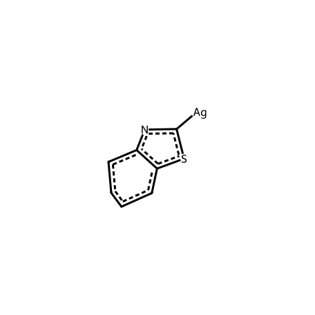 [Ag][c]1nc2ccccc2s1